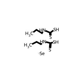 CCCNC(=S)S.CCCNC(=S)S.[Se]